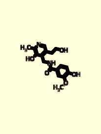 COc1cc(C(=O)NCc2c(CCO)cnc(C)c2O)ccc1O